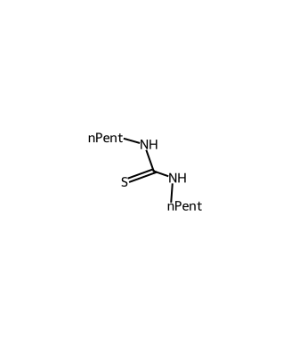 CCCCCNC(=S)NCCCCC